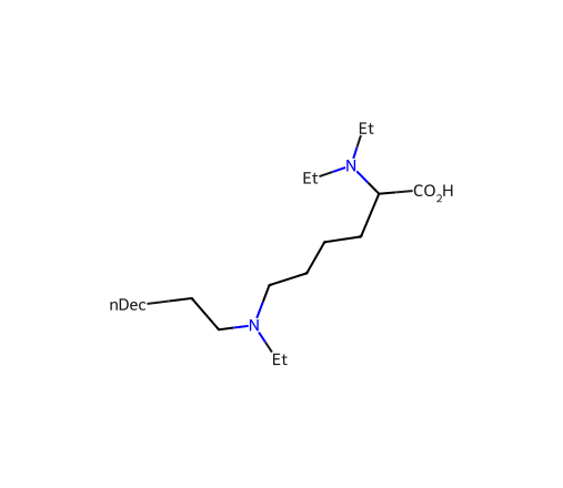 CCCCCCCCCCCCN(CC)CCCCC(C(=O)O)N(CC)CC